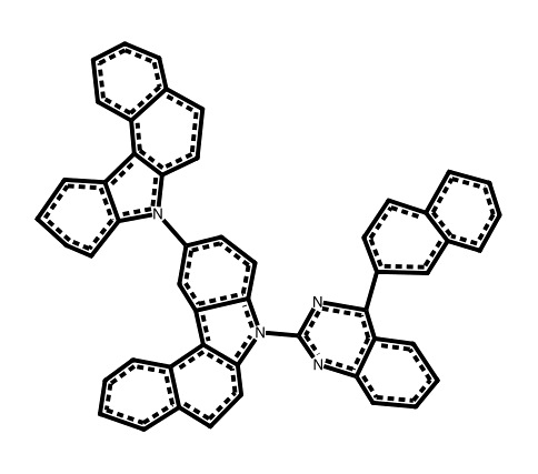 c1ccc2cc(-c3nc(-n4c5ccc(-n6c7ccccc7c7c8ccccc8ccc76)cc5c5c6ccccc6ccc54)nc4ccccc34)ccc2c1